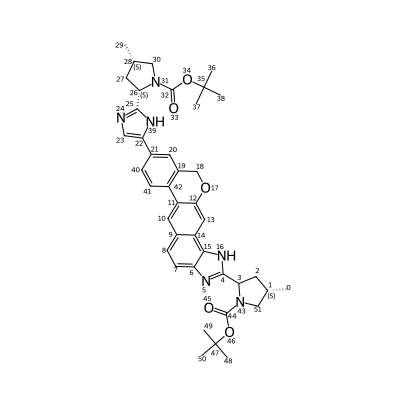 C[C@H]1CC(c2nc3ccc4cc5c(cc4c3[nH]2)OCc2cc(-c3cnc([C@@H]4C[C@H](C)CN4C(=O)OC(C)(C)C)[nH]3)ccc2-5)N(C(=O)OC(C)(C)C)C1